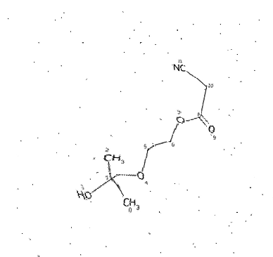 CC(C)(O)OCCOC(=O)CC#N